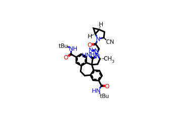 C[C@H](CC1(c2nnn[nH]2)c2ccc(C(=O)NC(C)(C)C)cc2CCc2cc(C(=O)NC(C)(C)C)ccc21)NCC(=O)N1[C@H](C#N)C[C@@H]2C[C@@H]21